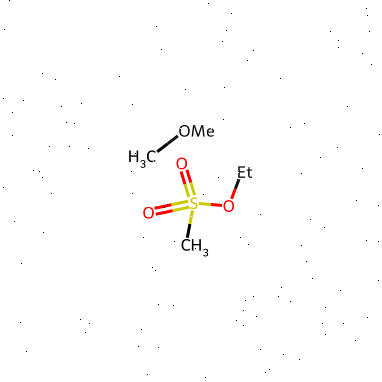 CCOS(C)(=O)=O.COC